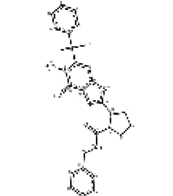 Cn1c(C(F)(F)c2ccccn2)nc2sc(N3CCCC3C(=O)NCc3ccccc3)nc2c1=O